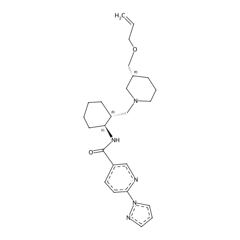 C=CCOC[C@@H]1CCCN(C[C@H]2CCCC[C@@H]2NC(=O)c2ccc(-n3cccn3)nc2)C1